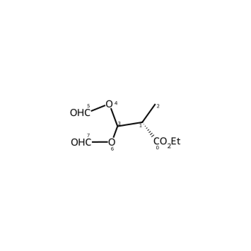 CCOC(=O)[C@@H](C)C(OC=O)OC=O